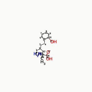 CCC(CCc1ccccc1O)CC(C)(N)C(=O)O